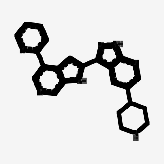 c1ccc(-c2cncc3[nH]c(-c4n[nH]c5ncc(C6CCNCC6)cc45)cc23)nc1